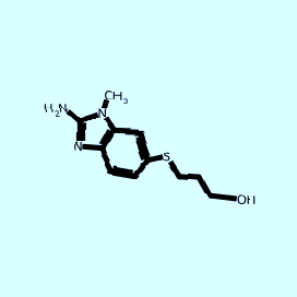 Cn1c(N)nc2ccc(SCCCO)cc21